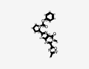 Cc1noc(-c2nc3sc(C4CCCN4C(=O)Oc4ccccc4)nc3c(=O)n2C)n1